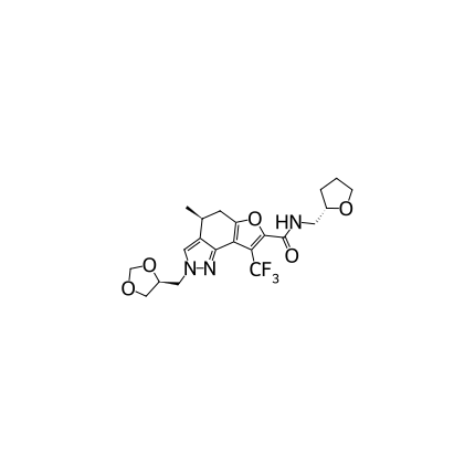 C[C@H]1Cc2oc(C(=O)NC[C@@H]3CCCO3)c(C(F)(F)F)c2-c2nn(C[C@H]3COCO3)cc21